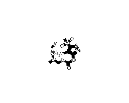 C[S+]([O-])COC(=O)Oc1nsc(S(C)(=O)=O)c1C(=O)O.[CH3][K]